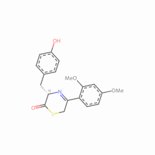 COc1ccc(C2=N[C@@H](Cc3ccc(O)cc3)C(=O)SC2)c(OC)c1